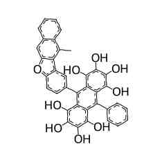 Cc1c2ccccc2cc2oc3ccc(-c4c5c(O)c(O)c(O)c(O)c5c(-c5ccccc5)c5c(O)c(O)c(O)c(O)c45)cc3c12